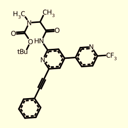 CC(C(=O)Nc1cc(-c2ccc(C(F)(F)F)nc2)cc(C#Cc2ccccc2)n1)N(C)C(=O)OC(C)(C)C